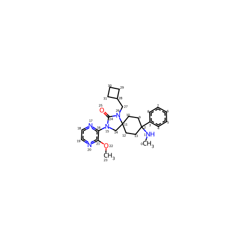 CNC1(c2ccccc2)CCC2(CC1)CN(c1nccnc1OC)C(=O)N2CC1CCC1